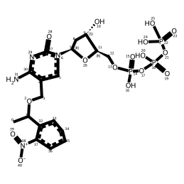 CC(OCc1cn([C@H]2C[C@H](O)[C@@H](COP(=O)(O)OP(=O)(O)OP(=O)(O)O)O2)c(=O)nc1N)c1ccccc1[N+](=O)[O-]